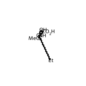 CCC=CCC=CCC=CCC=CCC=CCCCCSC(OC)C(=O)Nc1ccc(O)c(C(=O)O)c1